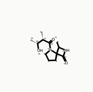 CC1NC(=O)C12CCCN2C(=O)[C@@H](C)[C@@H](C)O